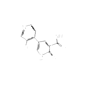 CCc1cnccc1-c1c[nH]c(=O)c(C(N)=O)c1